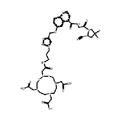 N#C[C@@H]1CC(F)(F)CN1C(=O)CNC(=O)c1ccnc2ccc(OCc3cn(CCCNC(=O)CN4CCN(CC(=O)O)CCN(CC(=O)O)CCN(CC(=O)O)CC4)nn3)cc12